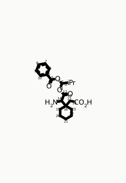 CC(C)C(OC(=O)c1ccccc1)OC(=O)C(N)C1(CC(=O)O)CCCCC1